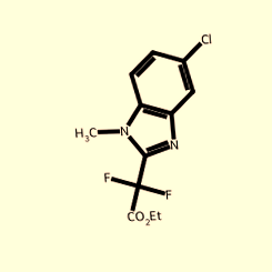 CCOC(=O)C(F)(F)c1nc2cc(Cl)ccc2n1C